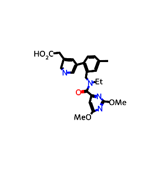 CCN(Cc1cc(C)ccc1-c1cncc(CC(=O)O)c1)C(=O)c1cc(OC)nc(OC)n1